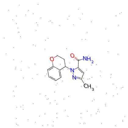 Cc1cc(C(N)=O)n(C2CCOc3ccccc32)n1